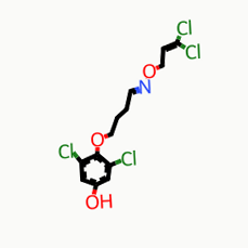 Oc1cc(Cl)c(OCCC/C=N/OCC=C(Cl)Cl)c(Cl)c1